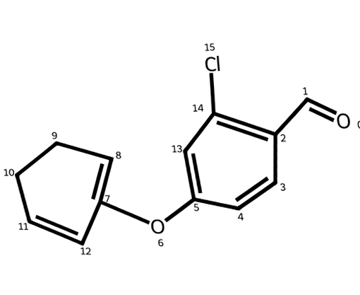 O=Cc1ccc(OC2=CCCC=C2)cc1Cl